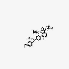 CNc1c(C(=O)OC(C)(C)C)ccc(C)c1[C@H]1CC[C@H](N(Cc2ccc(F)cc2)C(C)=O)CC1